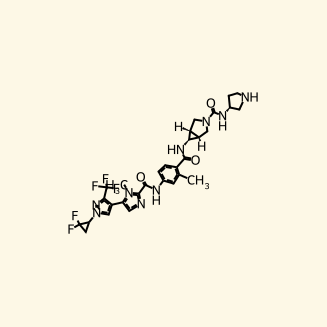 Cc1cc(NC(=O)c2ncc(-c3cn(C4CC4(F)F)nc3C(F)(F)F)n2C)ccc1C(=O)N[C@H]1[C@@H]2CN(C(=O)N[C@H]3CCNC3)C[C@@H]21